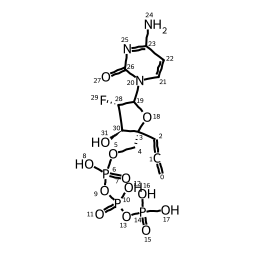 C=C=C[C@]1(COP(=O)(O)OP(=O)(O)OP(=O)(O)O)OC(n2ccc(N)nc2=O)[C@@H](F)[C@@H]1O